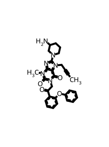 CC#CCn1c(N2CCCC(N)C2)nc2c1c(=O)n(CC(=O)c1ccccc1Oc1ccccc1)c(=O)n2C